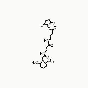 CC1CCCC(C)N1CC(=O)NCCC(=O)NCCCC(=O)ON1C(=O)CCC1=O